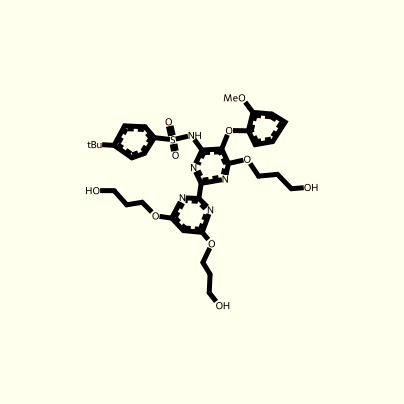 COc1ccccc1Oc1c(NS(=O)(=O)c2ccc(C(C)(C)C)cc2)nc(-c2nc(OCCCO)cc(OCCCO)n2)nc1OCCCO